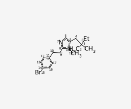 CCC(C)(C)Cc1cnc([CH]Cc2ccc(Br)cc2)n1C